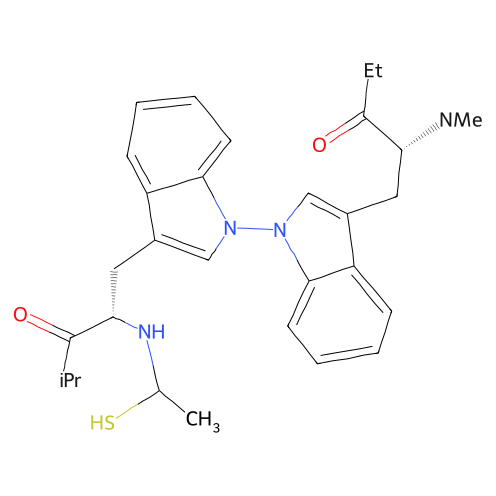 CCC(=O)[C@@H](Cc1cn(-n2cc(C[C@H](NC(C)S)C(=O)C(C)C)c3ccccc32)c2ccccc12)NC